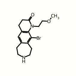 COCCN1C(=O)CCc2cc3c(c(Br)c21)CCNCC3